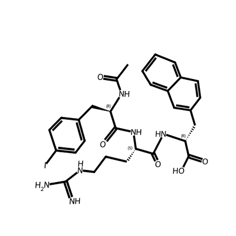 CC(=O)N[C@H](Cc1ccc(I)cc1)C(=O)N[C@@H](CCCNC(=N)N)C(=O)N[C@H](Cc1ccc2ccccc2c1)C(=O)O